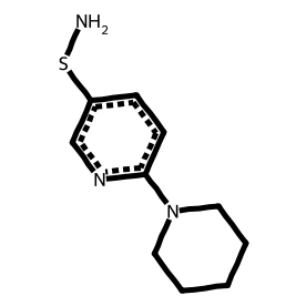 NSc1ccc(N2CCCCC2)nc1